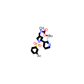 CC(=O)c1cccc(S(=O)(=O)n2cc(CN(C)C(=O)OC(C)(C)C)cc2-c2cccnc2F)c1